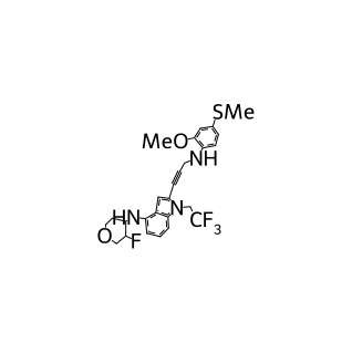 COc1cc(SC)ccc1NCC#Cc1cc2c(NC3CCOCC3F)cccc2n1CC(F)(F)F